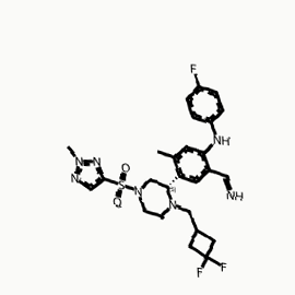 Cc1cc(Nc2ccc(F)cc2)c(C=N)cc1[C@H]1CN(S(=O)(=O)c2cnn(C)n2)CCN1CC1CC(F)(F)C1